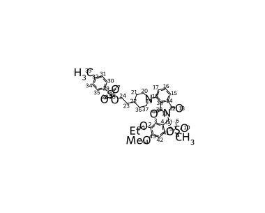 CCOc1cc([C@@H](CS(C)(=O)=O)N2C(=O)c3cccc(N4CCC(CCOS(=O)(=O)c5ccc(C)cc5)CC4)c3C2=O)ccc1OC